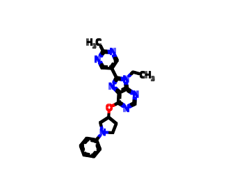 CCn1c(-c2cnc(C)nc2)nc2c(OC3CCN(c4ccccc4)C3)ncnc21